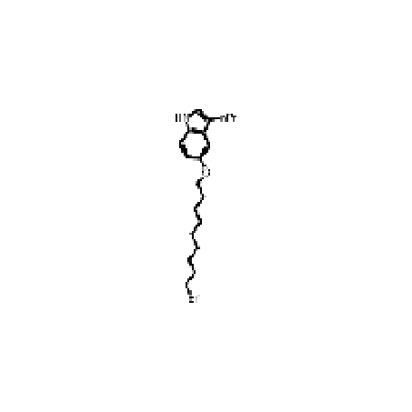 CCCc1c[nH]c2ccc(OCCCCCCCCCBr)cc12